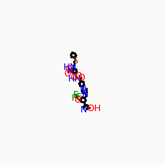 O=C(NS(=O)(=O)c1ccc(NCCSc2ccccc2)c([N+](=O)[O-])c1)c1ccc(N2CCN(Cc3cc(OC(F)(F)F)cc(-c4cncc(O)c4)c3)CC2)cc1